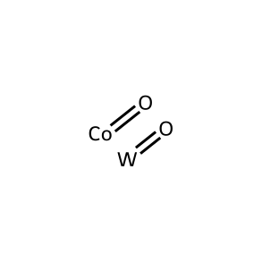 [O]=[Co].[O]=[W]